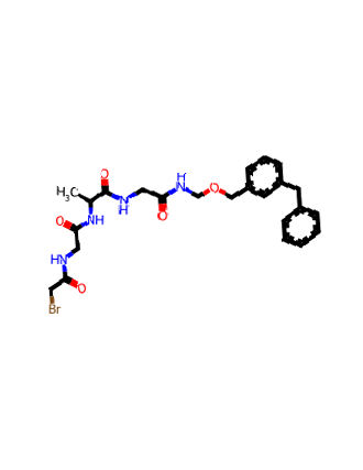 CC(NC(=O)CNC(=O)CBr)C(=O)NCC(=O)NCOCc1cccc(Cc2ccccc2)c1